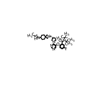 CCSNC1CCC2(CC1)CN(C[C@@H]1CCN(c3ncncc3Oc3ccc(F)cc3C(=O)N(C(C)C)C(C)C)C1)C2